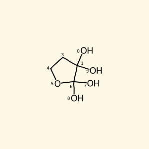 OC1(O)CCOC1(O)O